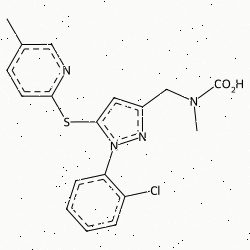 Cc1ccc(Sc2cc(CN(C)C(=O)O)nn2-c2ccccc2Cl)nc1